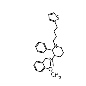 COc1ccccc1CNC1CCCN(CCCCc2cccs2)C1c1ccccc1